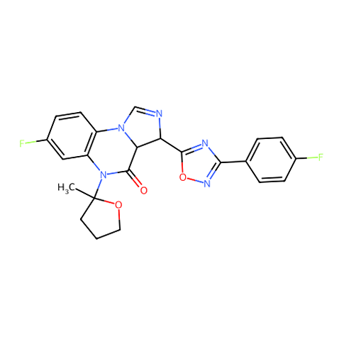 CC1(N2C(=O)C3C(c4nc(-c5ccc(F)cc5)no4)N=CN3c3ccc(F)cc32)CCCO1